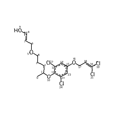 CC(CCCOCC=NO)Oc1c(Cl)cc(OCC=C(Cl)Cl)cc1Cl